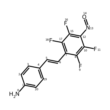 Nc1ccc(/C=C/c2c(F)c(F)c(N=O)c(F)c2F)cc1